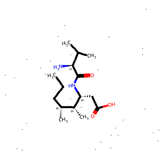 CCC[C@@H](C)[C@@H](C)[C@@H](CC(=O)O)NC(=O)[C@@H](N)C(C)C